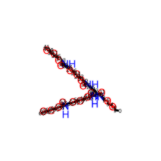 CCCOCCOCCNC(=O)C(CCCCNC(=O)COCCOCCOCCNC(=O)COCCOCCOC)NC(=O)COCCOCCOCCNC(=O)COCCOCCOC